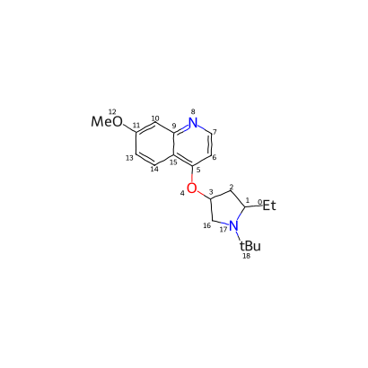 CCC1CC(Oc2ccnc3cc(OC)ccc23)CN1C(C)(C)C